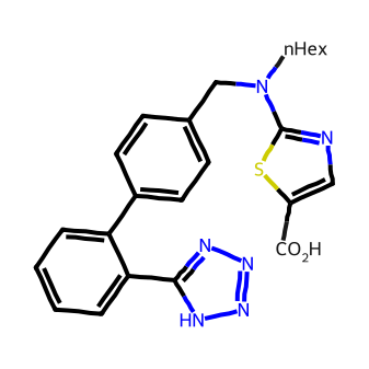 CCCCCCN(Cc1ccc(-c2ccccc2-c2nnn[nH]2)cc1)c1ncc(C(=O)O)s1